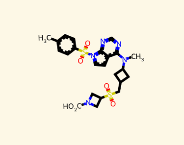 Cc1ccc(S(=O)(=O)n2ccc3c(N(C)C4CC(CS(=O)(=O)C5CN(C(=O)O)C5)C4)ncnc32)cc1